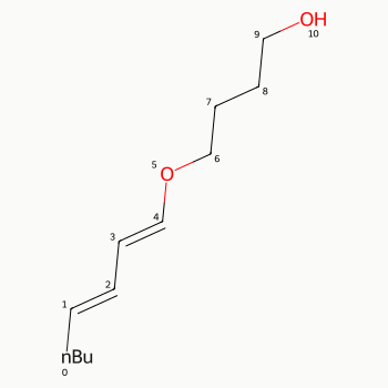 CCCCC=CC=COCCCCO